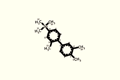 Cc1ccc(-c2ccc([Si](C)(C)C)cc2C)cc1C